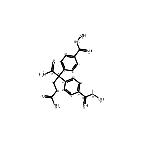 N=C(NO)c1ccc(C(CCC(N)=O)(C(N)=O)c2ccc(C(=N)NO)cc2)cc1